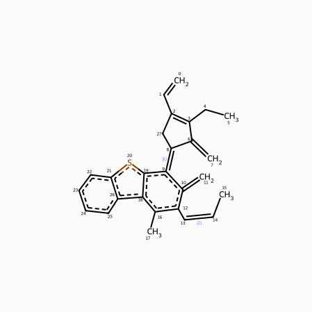 C=CC1=C(CC)C(=C)/C(=c2\c(=C)c(/C=C\C)c(C)c3c2sc2ccccc23)C1